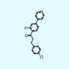 O=C(CCc1ccc(Cl)cc1)c1ccc(-c2ccncc2)cc1F